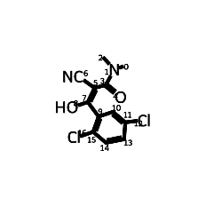 CN(C)C(=O)C(C#N)=C(O)c1cc(Cl)ccc1Cl